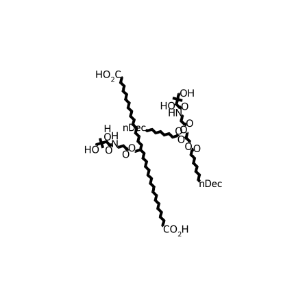 CC(C)(CO)[C@@H](O)C(=O)NCCC(=O)OCC(CCCCCCCCCCCCCCCCCCC(=O)O)CCCCCCCCCCCCCCCCCC(=O)O.CCCCCCCCCCCCCCCCCC(=O)OCC(COC(=O)CCNC(=O)[C@H](O)C(C)(C)CO)OC(=O)CCCCCCCCCCCCCCCCC